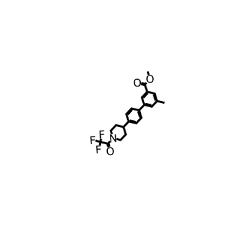 COC(=O)c1cc(C)cc(-c2ccc(C3CCN(C(=O)C(F)(F)F)CC3)cc2)c1